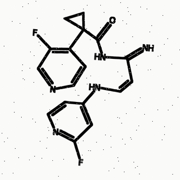 N=C(/C=C\Nc1ccnc(F)c1)NC(=O)C1(c2ccncc2F)CC1